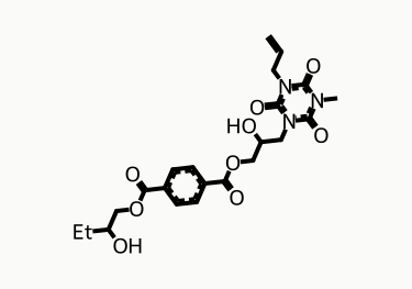 C=CCn1c(=O)n(C)c(=O)n(CC(O)COC(=O)c2ccc(C(=O)OCC(O)CC)cc2)c1=O